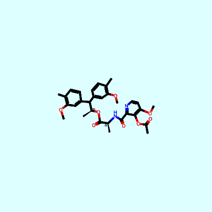 COc1cc(C(c2ccc(C)c(OC)c2)[C@H](C)OC(=O)[C@H](C)NC(=O)c2nccc(OC)c2OC(C)=O)ccc1C